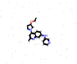 CCOC1CCN(c2cc(C)nc3cc(Nc4cccnc4)ccc23)C1